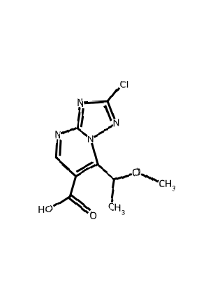 COC(C)c1c(C(=O)O)cnc2nc(Cl)nn12